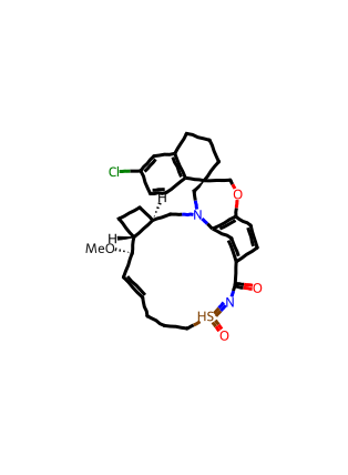 CO[C@H]1/C=C/CCC/[SH](=O)=N\C(=O)c2ccc3c(c2)N(C[C@@H]2CC[C@H]21)C[C@@]1(CCCc2cc(Cl)ccc21)CO3